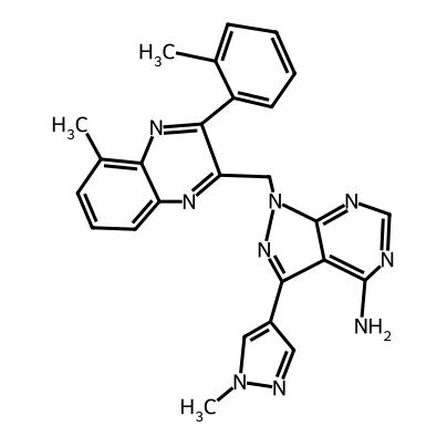 Cc1ccccc1-c1nc2c(C)cccc2nc1Cn1nc(-c2cnn(C)c2)c2c(N)ncnc21